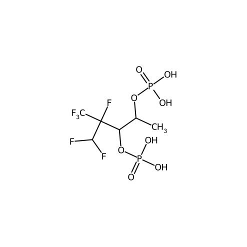 CC(OP(=O)(O)O)C(OP(=O)(O)O)C(F)(C(F)F)C(F)(F)F